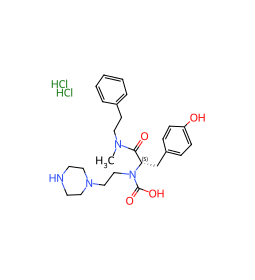 CN(CCc1ccccc1)C(=O)[C@H](Cc1ccc(O)cc1)N(CCN1CCNCC1)C(=O)O.Cl.Cl